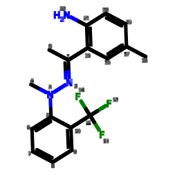 C/C(=N\N(C)c1ccccc1C(F)(F)F)c1cc(C)ccc1N